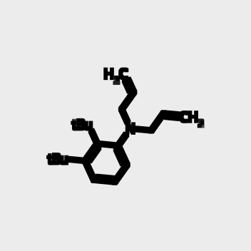 C=CCN(CC=C)c1cccc(C(C)(C)C)c1C(C)(C)C